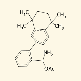 CC(=O)OC(N)c1ccccc1-c1ccc2c(c1)C(C)(C)CCC2(C)C